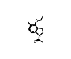 CCOc1c(C)ccc2c1CCN2C(C)=O